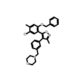 Cc1cc(OCc2ccccc2)c(-c2onc(C)c2-c2cccc(CN3CCOCC3)c2)cc1Cl